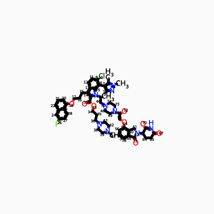 Cc1nn(C)c(C)c1-c1c(Cl)ccc2c(CCCOc3cccc4cc(F)ccc34)c(C(=O)OCCCN3CCN(C)CC3)n(CCN3CCN(C(=O)COc4cccc5c4CN(C4CCC(=O)NC4=O)C5=O)CC3)c12